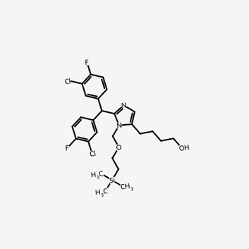 C[Si](C)(C)CCOCn1c(CCCCO)cnc1C(c1ccc(F)c(Cl)c1)c1ccc(F)c(Cl)c1